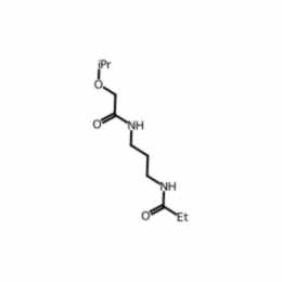 CCC(=O)NCCCNC(=O)COC(C)C